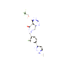 Cn1ccc(-c2ccc(CN3Cc4ncnc(OCC(F)(F)F)c4C3=O)c(F)c2)n1